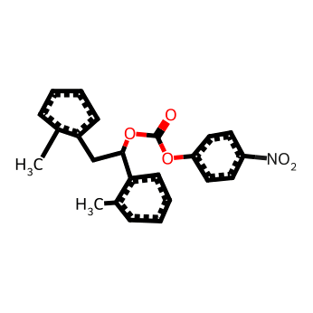 Cc1ccccc1CC(OC(=O)Oc1ccc([N+](=O)[O-])cc1)c1ccccc1C